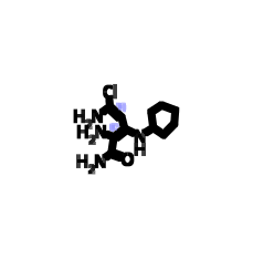 NC(=O)/C(N)=C(/C=C(\N)Cl)NC1CCCCC1